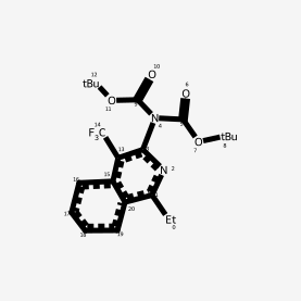 CCc1nc(N(C(=O)OC(C)(C)C)C(=O)OC(C)(C)C)c(C(F)(F)F)c2ccccc12